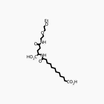 CCOCCOCCNC(=O)CCC(NC(=O)CCCCCCCCCCC(=O)O)C(=O)O